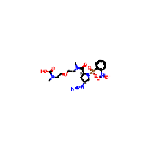 CN(CCOCCN(C)C(=O)[C@@H]1C[C@H](N=[N+]=[N-])CN1S(=O)(=O)c1ccccc1[N+](=O)[O-])C(=O)O